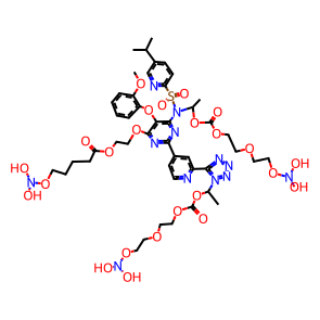 COc1ccccc1Oc1c(OCCOC(=O)CCCCON(O)O)nc(-c2ccnc(-c3nnnn3C(C)OC(=O)OCCOCCON(O)O)c2)nc1N(C(C)OC(=O)OCCOCCON(O)O)S(=O)(=O)c1ccc(C(C)C)cn1